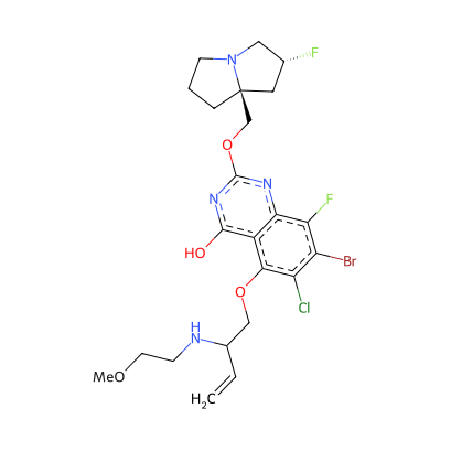 C=CC(COc1c(Cl)c(Br)c(F)c2nc(OC[C@@]34CCCN3C[C@H](F)C4)nc(O)c12)NCCOC